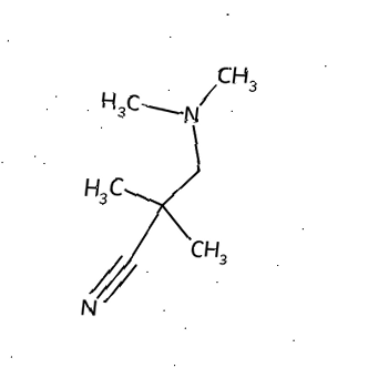 CN(C)CC(C)(C)C#N